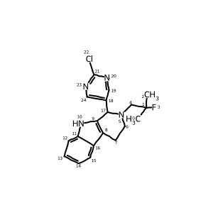 CC(C)(F)CN1CCc2c([nH]c3ccccc23)C1c1cnc(Cl)nc1